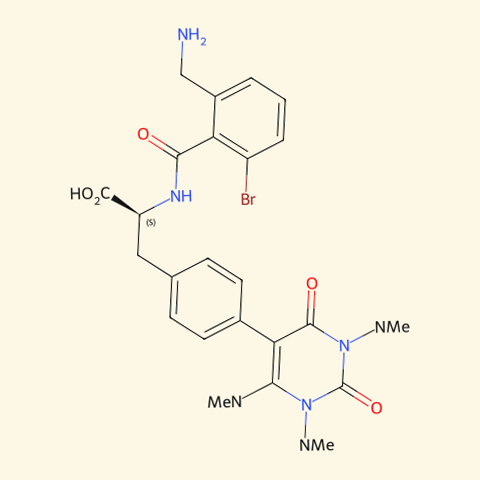 CNc1c(-c2ccc(C[C@H](NC(=O)c3c(Br)cccc3CN)C(=O)O)cc2)c(=O)n(NC)c(=O)n1NC